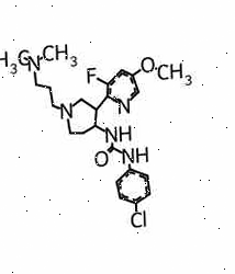 COc1cnc(C2CN(CCCN(C)C)CCC2NC(=O)Nc2ccc(Cl)cc2)c(F)c1